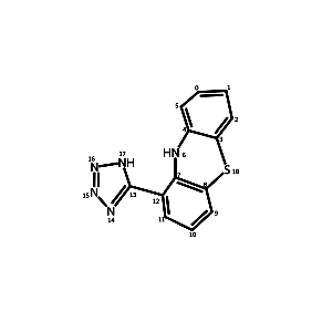 c1ccc2c(c1)Nc1c(cccc1-c1nnn[nH]1)S2